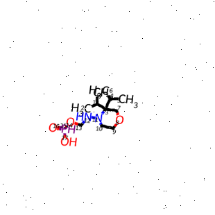 CC(C)C1(C(C)C)COCCN1NCO[PH](=O)O